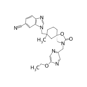 CCOc1cnc(CN2C[C@]3(CCCC(C)(Cn4cnc5ccc(C#N)cc54)C3)OC2=O)cn1